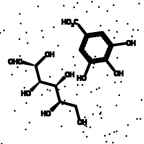 O=C(O)c1cc(O)c(O)c(O)c1.O=C[C@H](O)[C@@H](O)[C@H](O)[C@H](O)CO